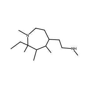 CCC1(C)C(C)C(C)C(CCNC)CCN1C